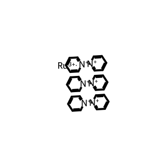 [Ru+3].c1cc[n+](-[n+]2ccccc2)cc1.c1cc[n+](-[n+]2ccccc2)cc1.c1cc[n+](-[n+]2ccccc2)cc1